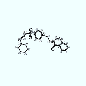 O=c1c2ccccc2ncn1CCc1ccc(S(=O)(=O)N=C=NC2CCCCC2)cc1